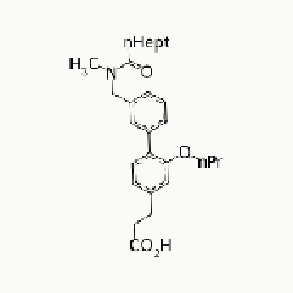 CCCCCCCC(=O)N(C)Cc1cccc(-c2ccc(CCC(=O)O)cc2OCCC)c1